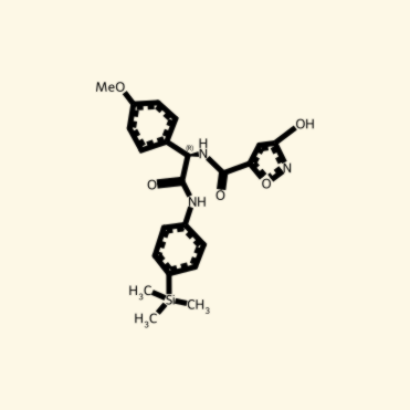 COc1ccc([C@@H](NC(=O)c2cc(O)no2)C(=O)Nc2ccc([Si](C)(C)C)cc2)cc1